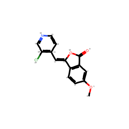 COc1ccc2c(c1)C(=O)OC2=Cc1ccncc1Cl